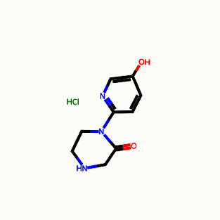 Cl.O=C1CNCCN1c1ccc(O)cn1